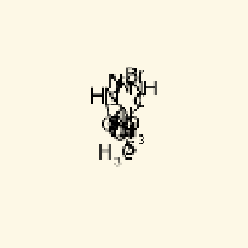 CSCCS(=O)(=O)N=S(C)(=O)c1ccc2cc1NCCCCNc1nc(ncc1Br)N2